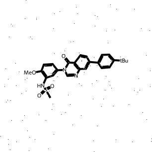 COc1ccc(-n2cnc3cc(-c4ccc(C(C)(C)C)cc4)ccc3c2=O)cc1NS(C)(=O)=O